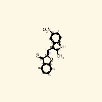 Cc1[nH]c2ccc([N+](=O)[O-])cc2c1/C=C1\Oc2ccccc2C1=O